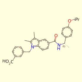 Cc1c(C)n(Cc2cccc(C(=O)O)c2)c2ccc(C(=O)N[C@@H](C)c3ccc(OC(C)C)cc3)cc12